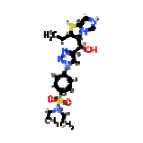 CCc1sc2cncn2c1C(O)c1cn(-c2ccc(S(=O)(=O)N(CC)CC)cc2)nn1